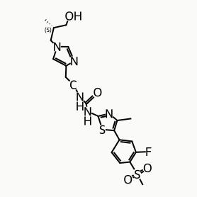 Cc1nc(NC(=O)NCCc2cn(C[C@H](C)CO)cn2)sc1-c1ccc(S(C)(=O)=O)c(F)c1